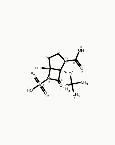 CC(C)(C)O[C@]12C(=O)N(S(=O)(=O)O)[C@@H]1CCN2C(=O)O